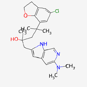 CN(C)c1cc2cc(CC(O)(CC(C)(C)c3cc(Cl)cc4c3OCC4)C(F)(F)F)[nH]c2cn1